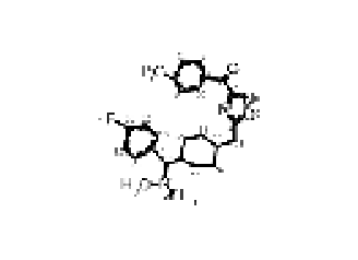 Cc1ccc(C(=O)c2noc(CC3CCC(C(c4ccc(F)cc4)N(C)C)CC3)n2)cc1